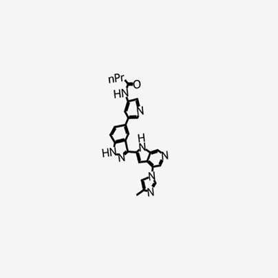 CCCC(=O)Nc1cncc(-c2ccc3[nH]nc(-c4cc5c(-n6cnc(C)c6)cncc5[nH]4)c3c2)c1